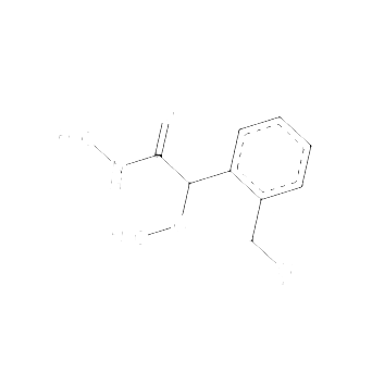 CNC(=O)C(OC)c1ccccc1CCl